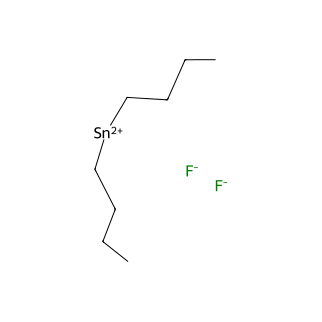 CCC[CH2][Sn+2][CH2]CCC.[F-].[F-]